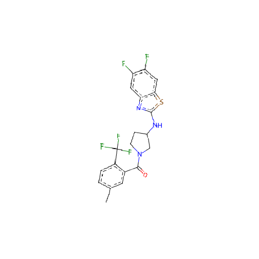 Cc1ccc(C(F)(F)F)c(C(=O)N2CCC(Nc3nc4cc(F)c(F)cc4s3)C2)c1